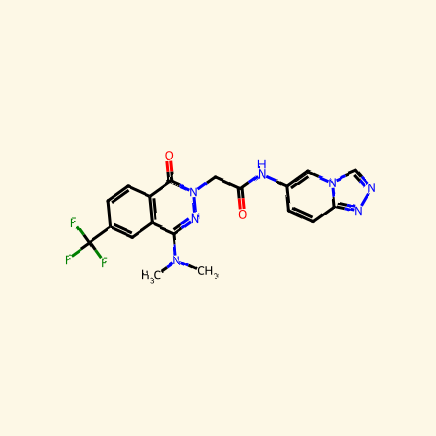 CN(C)c1nn(CC(=O)Nc2ccc3nncn3c2)c(=O)c2ccc(C(F)(F)F)cc12